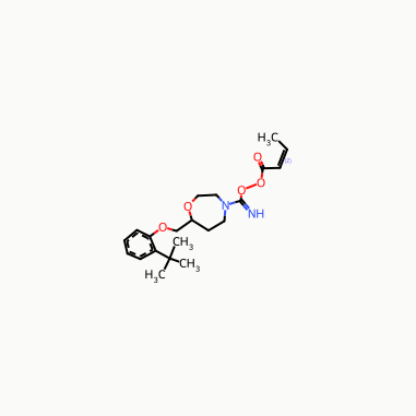 C/C=C\C(=O)OOC(=N)N1CCOC(COc2ccccc2C(C)(C)C)CC1